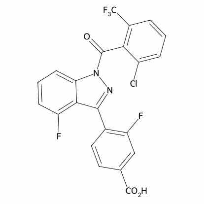 O=C(O)c1ccc(-c2nn(C(=O)c3c(Cl)cccc3C(F)(F)F)c3cccc(F)c23)c(F)c1